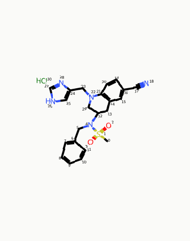 CS(=O)(=O)N(Cc1ccccc1)C1Cc2cc(C#N)ccc2N(Cc2c[nH]cn2)C1.Cl